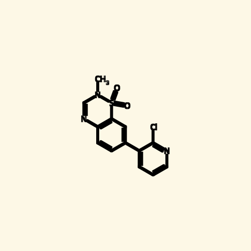 CN1C=Nc2ccc(-c3cccnc3Cl)cc2S1(=O)=O